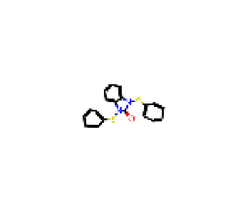 O=c1n(Sc2ccccc2)c2ccccc2n1Sc1ccccc1